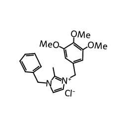 COc1cc(C[n+]2ccn(Cc3ccccc3)c2C)cc(OC)c1OC.[Cl-]